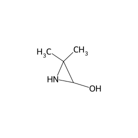 CC1(C)NC1O